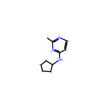 Cc1nccc(NC2CCCC2)n1